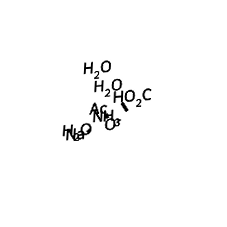 CC(=O)O.CC(=O)[O-].N.O.O.O.[Na+]